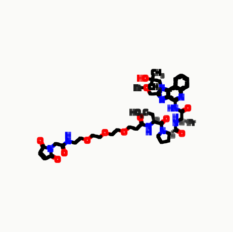 CCOCc1nc2c(NC(=O)[C@@H](NC(=O)[C@@H]3CCCN3C(=O)[C@H](CC(=O)O)NC(=O)CCOCCOCCOCCNC(=O)CN3C(=O)C=CC3=O)C(C)C)nc3ccccc3c2n1CC(C)(C)O